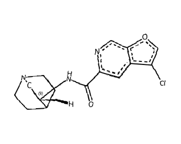 O=C(N[C@H]1CN2CCC1CC2)c1cc2c(Cl)coc2cn1